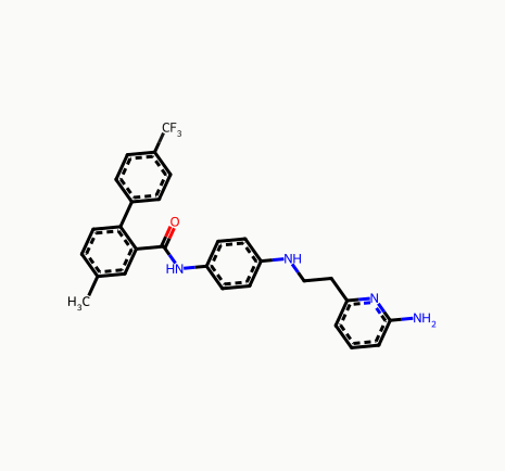 Cc1ccc(-c2ccc(C(F)(F)F)cc2)c(C(=O)Nc2ccc(NCCc3cccc(N)n3)cc2)c1